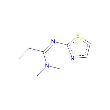 CC/C(=N/c1nccs1)N(C)C